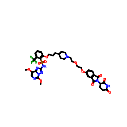 COc1cnc(OC)n2nc(NS(=O)(=O)c3c(OCCCC4CCN(CCOCCOc5ccc6c(c5)C(=O)N(C5CCC(=O)NC5=O)C6=O)CC4)cccc3C(F)(F)F)nc12